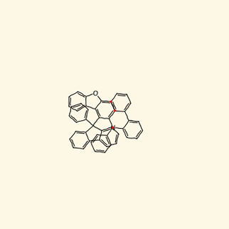 c1ccc(-c2ccccc2N(c2ccccc2)c2ccc3oc4ccccc4c3c2C2(c3ccccc3)c3ccccc3-c3ccccc32)cc1